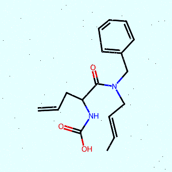 C=CCC(NC(=O)O)C(=O)N(CC=CC)Cc1ccccc1